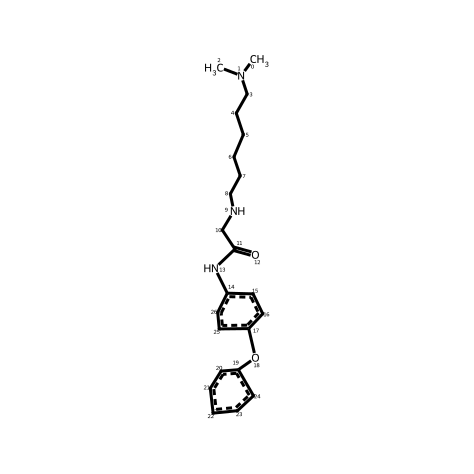 CN(C)CCCCCCNCC(=O)Nc1ccc(Oc2ccccc2)cc1